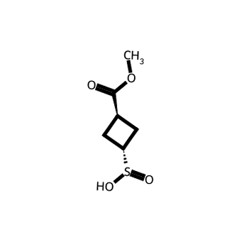 COC(=O)[C@H]1C[C@H](S(=O)O)C1